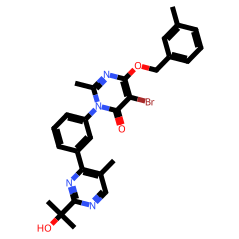 Cc1cccc(COc2nc(C)n(-c3cccc(-c4nc(C(C)(C)O)ncc4C)c3)c(=O)c2Br)c1